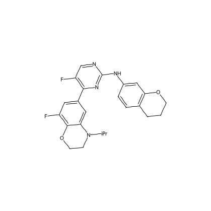 CC(C)N1CCOc2c(F)cc(-c3nc(Nc4ccc5c(c4)OCCC5)ncc3F)cc21